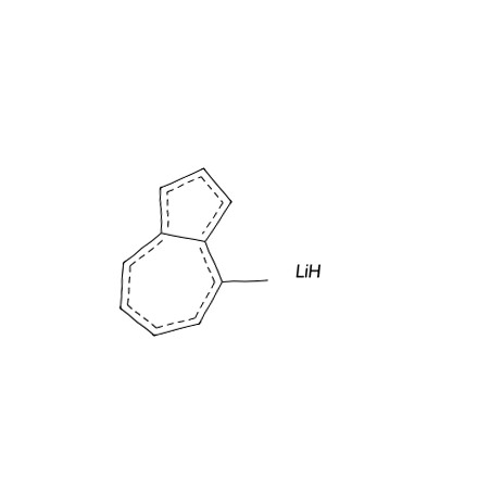 Cc1ccccc2cccc1-2.[LiH]